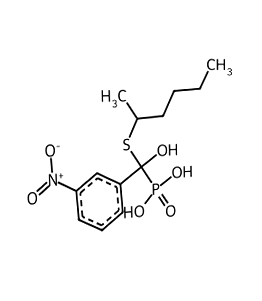 CCCCC(C)SC(O)(c1cccc([N+](=O)[O-])c1)P(=O)(O)O